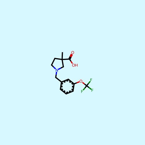 CC1(C(=O)O)CCN(Cc2cccc(OC(F)(F)F)c2)C1